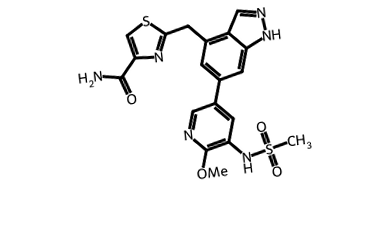 COc1ncc(-c2cc(Cc3nc(C(N)=O)cs3)c3cn[nH]c3c2)cc1NS(C)(=O)=O